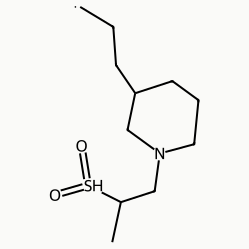 [CH2]CCC1CCCN(CC(C)[SH](=O)=O)C1